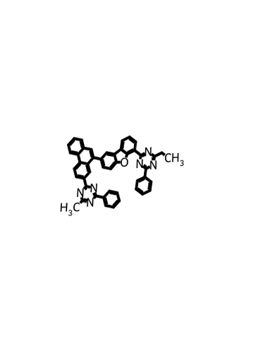 CCc1nc(-c2ccccc2)nc(-c2cccc3c2oc2ccc(-c4cc5ccccc5c5ccc(-c6nc(C)nc(-c7ccccc7)n6)cc45)cc23)n1